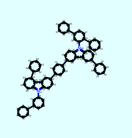 c1ccc(-c2cccc(-n3c4ccc(-c5ccc(-c6ccc7c(c6)c6cc(-c8ccccc8)ccc6n7-c6cc(-c7ccccc7)ccc6-c6ccccc6)cc5)cc4c4c(-c5ccccc5)cccc43)c2)cc1